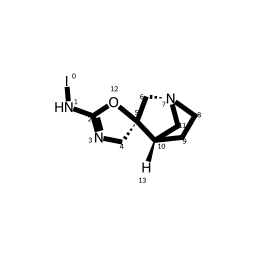 INC1=NC[C@@]2(C[N@]3CC[C@H]2C3)O1